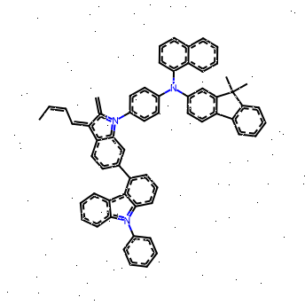 C=c1/c(=C\C=C/C)c2ccc(-c3cccc4c3c3ccccc3n4-c3ccccc3)cc2n1-c1ccc(N(c2ccc3c(c2)C(C)(C)c2ccccc2-3)c2cccc3ccccc23)cc1